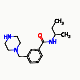 CCC(C)NC(=O)c1cccc(CN2CCNCC2)c1